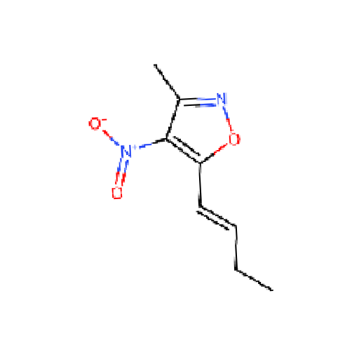 CC/C=C/c1onc(C)c1[N+](=O)[O-]